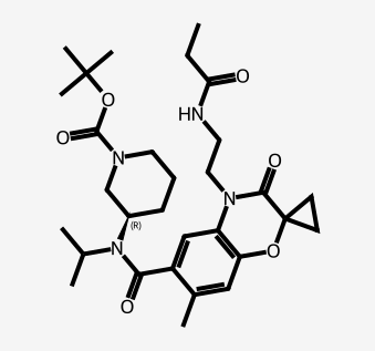 CCC(=O)NCCN1C(=O)C2(CC2)Oc2cc(C)c(C(=O)N(C(C)C)[C@@H]3CCCN(C(=O)OC(C)(C)C)C3)cc21